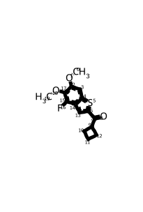 COc1cc2sc(C(=O)C3CCC3)cc2c(F)c1OC